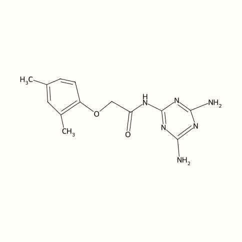 Cc1ccc(OCC(=O)Nc2nc(N)nc(N)n2)c(C)c1